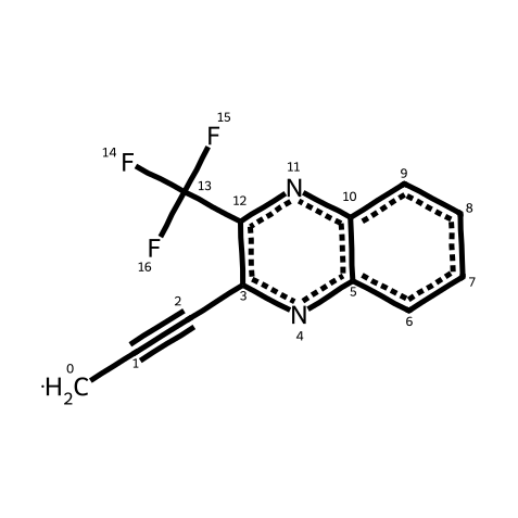 [CH2]C#Cc1nc2ccccc2nc1C(F)(F)F